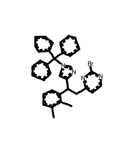 Cc1cccc(C(Cc2ccnc(Br)n2)c2cn(C(c3ccccc3)(c3ccccc3)c3ccccc3)cn2)c1C